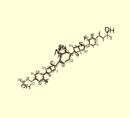 CC(O)CCc1ccc(-c2cc3sc(-c4ccc(-c5cc6sc(-c7ccc(CCC(C)O)cc7F)cc6s5)c5nsnc45)cc3s2)c(F)c1